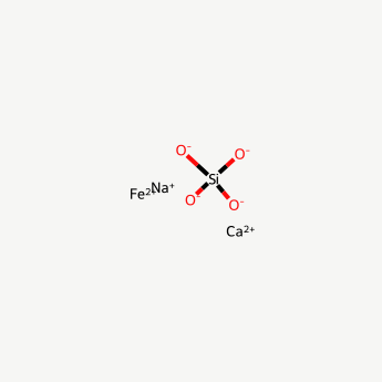 [Ca+2].[Fe+2].[Na+].[O-][Si]([O-])([O-])[O-]